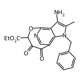 CCOC(=O)C1Oc2ncc(c3c2c(N)c(C)n3Cc2ccccc2)C(=O)C1=O